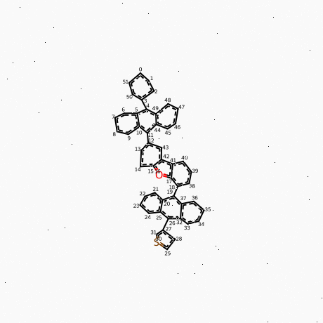 c1ccc(-c2c3ccccc3c(-c3ccc4oc5c(-c6c7ccccc7c(-c7ccsc7)c7ccccc67)cccc5c4c3)c3ccccc23)cc1